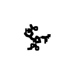 CCOC(=O)[C@H]1C[C@@H](C=C(F)F)CN1CC(CC)CNC(C)=O